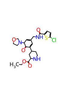 CCOC(=O)C1CC(C2=CC(CNC(=O)c3ccc(Cl)s3)=CC(N3CCOC3)C2=O)CCN1